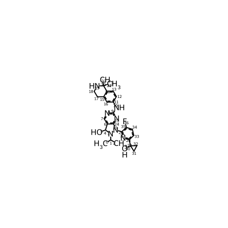 CC(C)N1C(O)c2cnc(Nc3ccc4c(c3)CCNC4(C)C)nc2N1c1nc(C2(O)CC2)ccc1F